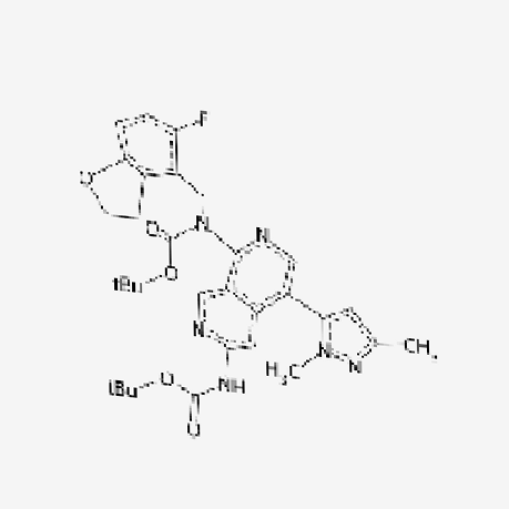 Cc1cc(-c2cnc(N(Cc3c(F)ccc4c3CCO4)C(=O)OC(C)(C)C)c3cnc(NC(=O)OC(C)(C)C)cc23)n(C)n1